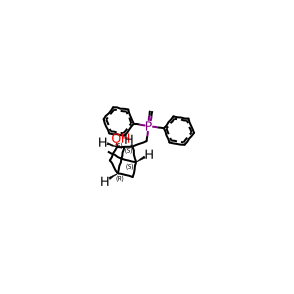 C=P(C[C@@H]1[C@@H](O)C[C@H]2C[C@@H]1C2(C)C)(c1ccccc1)c1ccccc1